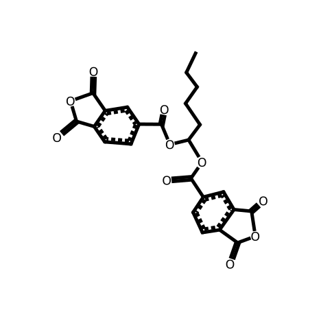 CCCCCC(OC(=O)c1ccc2c(c1)C(=O)OC2=O)OC(=O)c1ccc2c(c1)C(=O)OC2=O